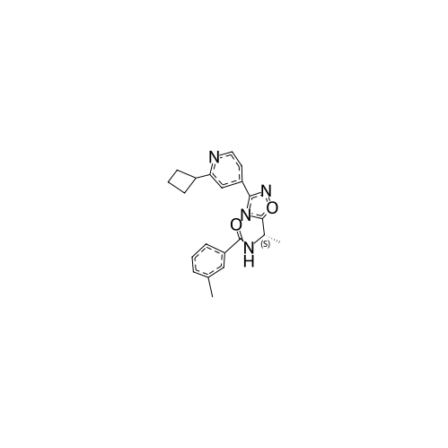 Cc1cccc(C(=O)N[C@@H](C)c2nc(-c3ccnc(C4CCC4)c3)no2)c1